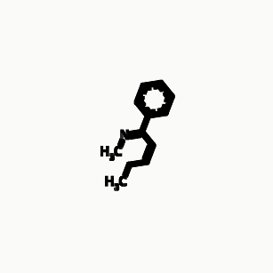 CC/C=C\C(=N/C)c1ccccc1